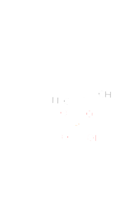 CC(C)(Cc1ccccc1)OP(=O)(O)Oc1ccccc1